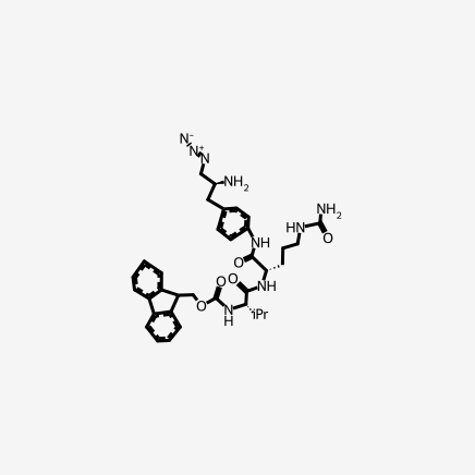 CC(C)[C@H](NC(=O)OCC1c2ccccc2-c2ccccc21)C(=O)N[C@@H](CCCNC(N)=O)C(=O)Nc1ccc(C[C@H](N)CN=[N+]=[N-])cc1